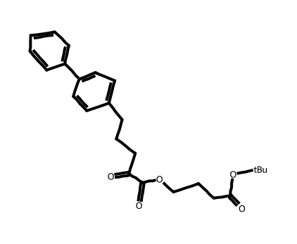 CC(C)(C)OC(=O)CCCOC(=O)C(=O)CCCc1ccc(-c2ccccc2)cc1